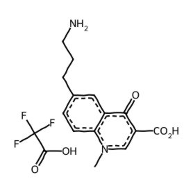 Cn1cc(C(=O)O)c(=O)c2cc(CCCN)ccc21.O=C(O)C(F)(F)F